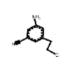 N#Cc1cc(N)cc(CC[O])c1